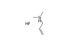 C=CC[SiH](C)C.F